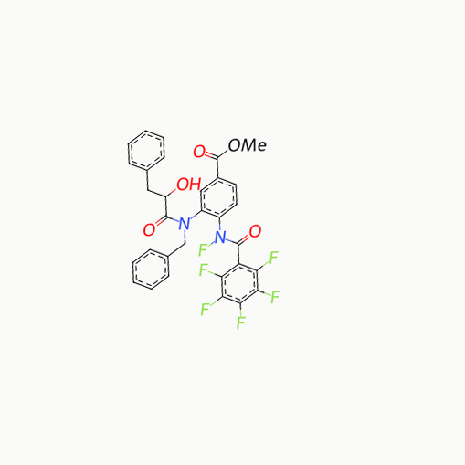 COC(=O)c1ccc(N(F)C(=O)c2c(F)c(F)c(F)c(F)c2F)c(N(Cc2ccccc2)C(=O)C(O)Cc2ccccc2)c1